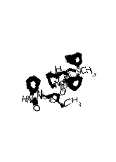 CC[C@H]1O[C@@H](n2c(=O)[nH]c3ccccc32)CC1O[P@@]1O[C@H](C[Si](C)(c2ccccc2)c2ccccc2)[C@@H]2CCCN21